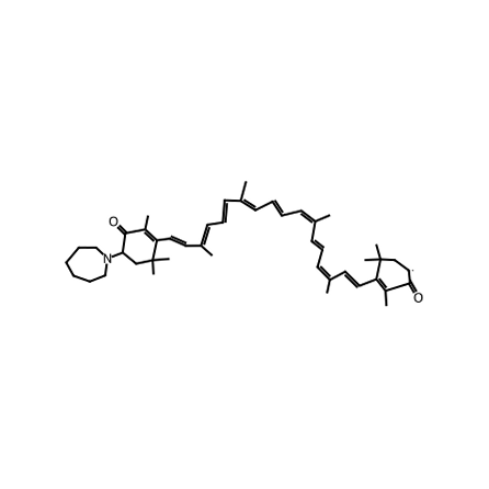 CC(C=CC=C(C)C=CC1=C(C)C(=O)[CH]CC1(C)C)=CC=CC=C(C)C=CC=C(C)C=CC1=C(C)C(=O)C(N2CCCCCC2)CC1(C)C